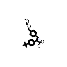 COCOCc1ccc(/C=C(/C(=O)Cl)c2ccc(C(C)(C)C)cc2)cc1